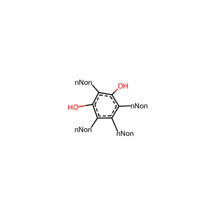 CCCCCCCCCc1c(O)c(CCCCCCCCC)c(CCCCCCCCC)c(CCCCCCCCC)c1O